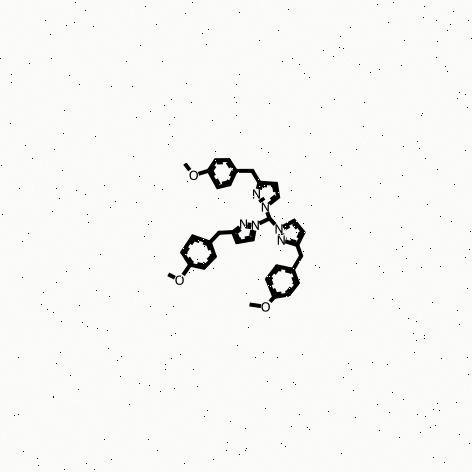 COc1ccc(Cc2ccn(C(n3ccc(Cc4ccc(OC)cc4)n3)n3ccc(Cc4ccc(OC)cc4)n3)n2)cc1